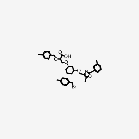 Cc1ccc(CBr)cc1.Cc1ccc(COC(CO[C@@H]2CCC[C@H](OCc3nc(-c4cccc(C)c4)oc3C)C2)C(=O)O)cc1